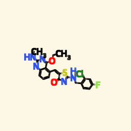 CCOc1nc(NC)nc2cccc(C=C3SC(NCc4ccc(F)cc4Cl)=NC3=O)c12